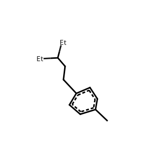 CCC(CC)CCc1ccc(C)cc1